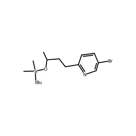 CC(CCc1ccc(Br)cn1)O[Si](C)(C)C(C)(C)C